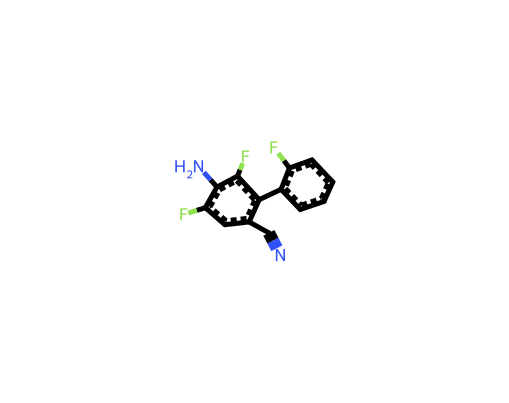 N#Cc1cc(F)c(N)c(F)c1-c1ccccc1F